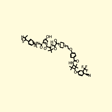 Cc1ncsc1-c1ccc([C@H](C)NC(=O)[C@@H]2C[C@@H](O)CN2C(=O)[C@@H](NC(=O)C(=O)N2CCN(CCOc3ccc(C(=O)NC4C(C)(C)C(Oc5ccc(C#N)c(C(F)(F)F)c5)C4(C)C)cc3)CC2)C(C)(C)C)cc1